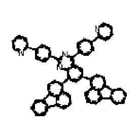 c1ccc(-c2ccc(-c3nc(-c4ccc(-c5ccccn5)cc4)c4cc(-c5ccc6c7c(cccc57)-c5ccccc5-6)cc(-c5ccc6c7c(cccc57)-c5ccccc5-6)c4n3)cc2)nc1